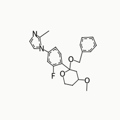 COC1CCOC(OCc2ccccc2)(c2ccc(-n3ccnc3C)cc2F)C1